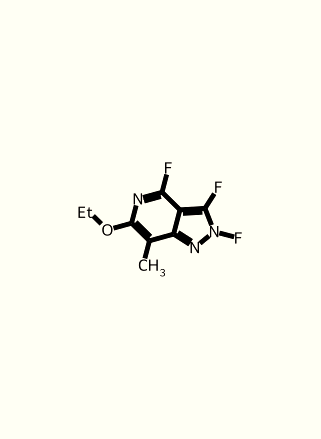 CCOc1nc(F)c2c(F)n(F)nc2c1C